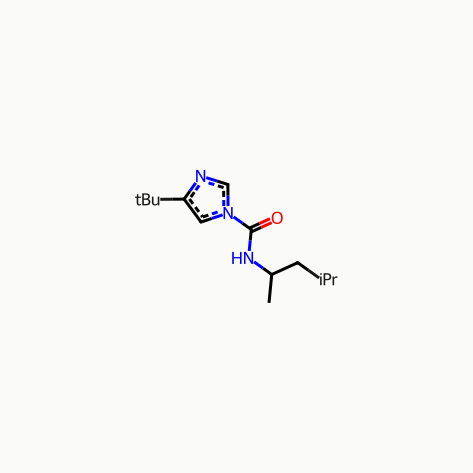 CC(C)CC(C)NC(=O)n1cnc(C(C)(C)C)c1